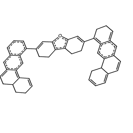 C1=CCC2C(=C1)C=Cc1cc3c(cc12)=C(C1=Cc2oc4c(c2CC1)CCC(c1cccc2cc5c(cc12)=C1C=CCCC1CC=5)=C4)CCC=3